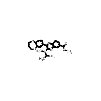 COC(=O)c1ccc2nc(-c3ccc4c(c3)OCCCO4)c(N(C)C(C)C)nc2c1